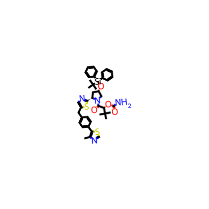 Cc1ncsc1-c1ccc(Cc2cnc([C@@H]3C[C@@H](O[Si](c4ccccc4)(c4ccccc4)C(C)(C)C)CN3C(=O)[C@@H](OC(N)=O)C(C)(C)C)s2)cc1